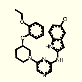 CCOc1ccccc1O[C@@H]1CCCN(c2cncc(Nc3cc4cc(Cl)ccc4[nH]3)n2)C1